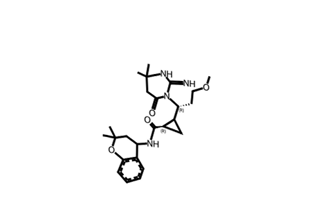 COCC[C@H](C1C[C@H]1C(=O)NC1CC(C)(C)Oc2ccccc21)N1C(=N)NC(C)(C)CC1=O